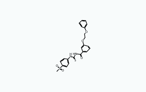 CS(=O)(=O)c1ccc(NC(=S)NC(=O)c2cccc(OCCOc3ccccc3)c2)cc1